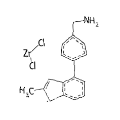 CC1=Cc2c(cccc2-c2ccc(CN)cc2)[CH]1.[Cl][Zr][Cl]